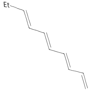 C=CC=CC=CC=CCC